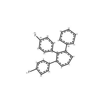 Fc1ccc(-c2cc[c]c(-c3ccccc3)c2-c2ccc(F)cc2)cc1